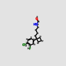 O=CNCCCCC1(c2ccc(Cl)c(F)c2)CCC1